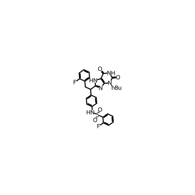 CCCCn1c(=O)[nH]c(=O)c2[nH]c(C(Cc3ccccc3F)c3ccc(NS(=O)(=O)c4ccccc4F)cc3)nc21